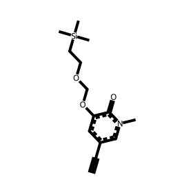 C#Cc1cc(OCOCC[Si](C)(C)C)c(=O)n(C)c1